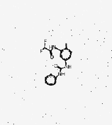 Cc1ccc(NC(=O)Nc2ccccc2)cc1NC(=O)C(F)F